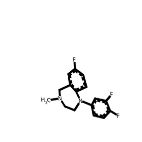 CN1CCN(c2ccc(F)c(F)c2)c2ccc(F)cc2C1